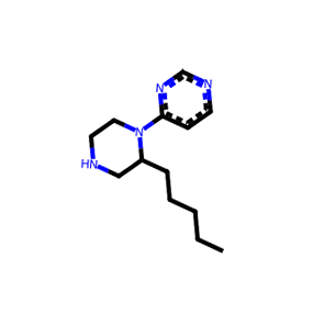 CCCCCC1CNCCN1c1ccn[c]n1